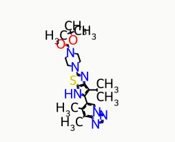 Cc1c(-c2[nH]c3sc(N4CCN(C(=O)OC(C)(C)C)CC4)nc3c2C(C)C)cn2ncnc2c1C